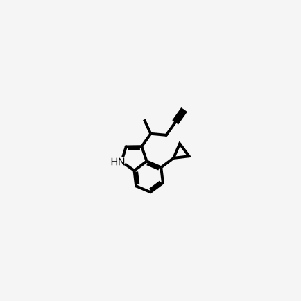 C#CCC(C)c1c[nH]c2cccc(C3CC3)c12